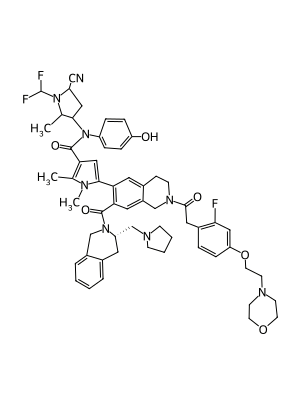 Cc1c(C(=O)N(c2ccc(O)cc2)C2CC(C#N)N(C(F)F)C2C)cc(-c2cc3c(cc2C(=O)N2Cc4ccccc4C[C@H]2CN2CCCC2)CN(C(=O)Cc2ccc(OCCN4CCOCC4)cc2F)CC3)n1C